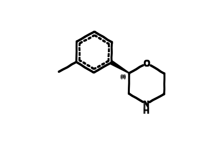 Cc1cccc([C@@H]2CNCCO2)c1